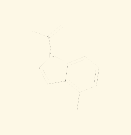 C=C(C)n1ccc2c(C)cccc21